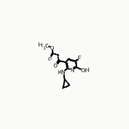 COC(=O)CC(=O)c1cc(F)c(O)nc1NC1CC1